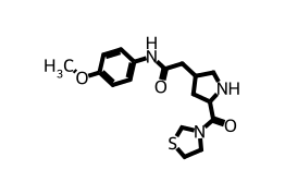 COc1ccc(NC(=O)CC2CNC(C(=O)N3CCSC3)C2)cc1